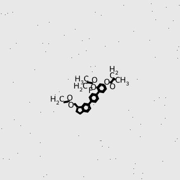 C=CC(=O)OCC1CCc2ccc(-c3ccc(-c4ccc(OC(=O)C(=C)C)cc4OC(=O)C(=C)C)c(F)c3)cc21